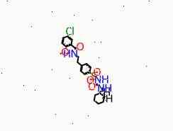 [2H]C1([2H])CCCCC1NC(=O)NS(=O)(=O)c1ccc(CCNC(=O)c2cc(Cl)ccc2OC)cc1